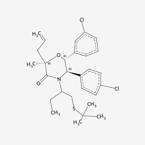 C=CC[C@@]1(C)O[C@H](c2cccc(Cl)c2)[C@@H](c2ccc(Cl)cc2)N(C(CC)CSC(C)(C)C)C1=O